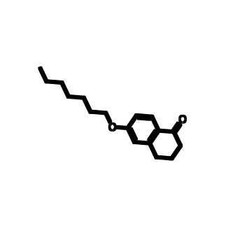 CCCCCCCOc1ccc2c(c1)CCCC2=O